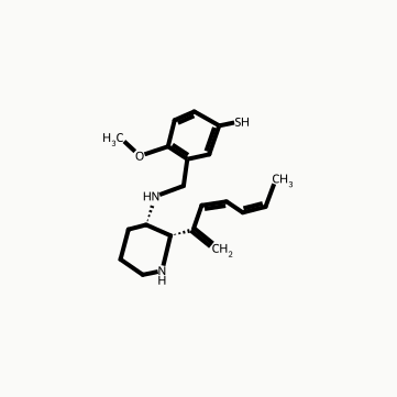 C=C(/C=C\C=C/C)[C@@H]1NCCC[C@@H]1NCc1cc(S)ccc1OC